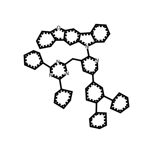 c1ccc(-c2nc(Cc3cc(-c4ccc(-c5ccccc5)c(-c5ccccc5)c4)cnc3-n3c4ccccc4c4cc5oc6ccccc6c5cc43)nc(-c3ccccc3)n2)cc1